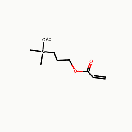 C=CC(=O)OCCC[Si](C)(C)OC(C)=O